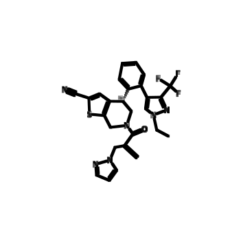 C=C(Cn1cccn1)C(=O)N1Cc2sc(C#N)cc2[C@H](c2ccccc2-c2cn(CC)nc2C(F)(F)F)C1